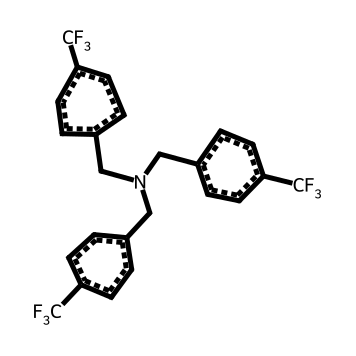 FC(F)(F)c1ccc(CN(Cc2ccc(C(F)(F)F)cc2)Cc2ccc(C(F)(F)F)cc2)cc1